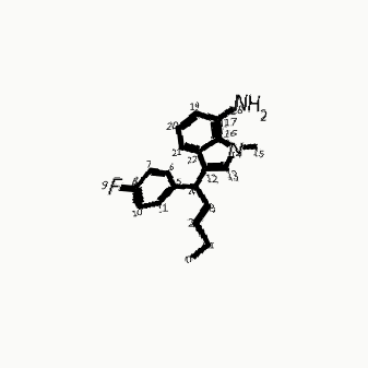 CCCCC(c1ccc(F)cc1)c1cn(C)c2c(N)cccc12